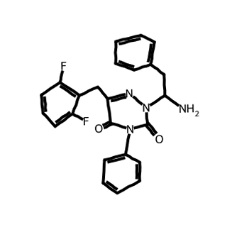 NC(Cc1ccccc1)n1nc(Cc2c(F)cccc2F)c(=O)n(-c2ccccc2)c1=O